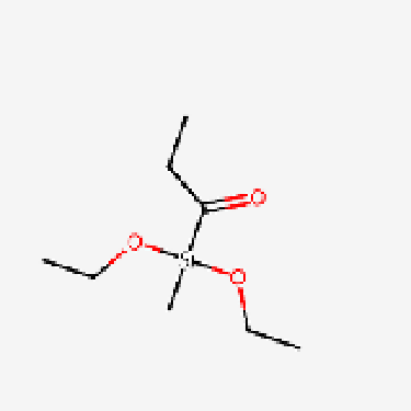 CCO[Si](C)(OCC)C(=O)CC